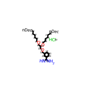 CCCCCCCCCCCCCCCCOCC(COCc1cccc(C(=N)N)c1)OCCCCCCCCCCCCCCCC.Cl